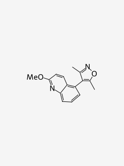 COc1ccc2c(-c3c(C)noc3C)cccc2n1